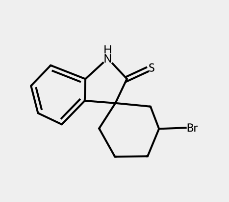 S=C1Nc2ccccc2C12CCCC(Br)C2